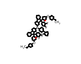 C=Cc1ccc(Oc2ccc(C3(c4ccc(F)c(F)c4F)c4ccccc4-c4ccc(N(c5ccc6c(c5)C(c5ccc(Oc7ccc(C=C)cc7)cc5)(c5ccc(F)c(F)c5F)c5ccccc5-6)c5ccc6c(c5)oc5ccccc56)cc43)cc2)cc1